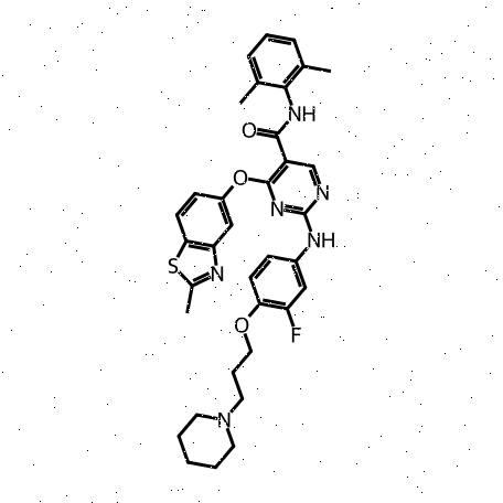 Cc1nc2cc(Oc3nc(Nc4ccc(OCCCN5CCCCC5)c(F)c4)ncc3C(=O)Nc3c(C)cccc3C)ccc2s1